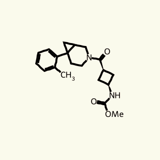 COC(=O)N[C@H]1C[C@@H](C(=O)N2CCC3(c4ccccc4C)CC3C2)C1